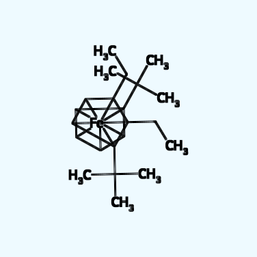 CC[C]12[CH]3[CH]4[C]5(C(C)(C)C)[C]1(CC)[Fe]34251678[CH]2[CH]1[CH]6[C]7(C(C)(C)C)[CH]28